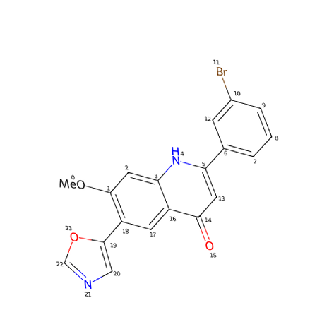 COc1cc2[nH]c(-c3cccc(Br)c3)cc(=O)c2cc1-c1cnco1